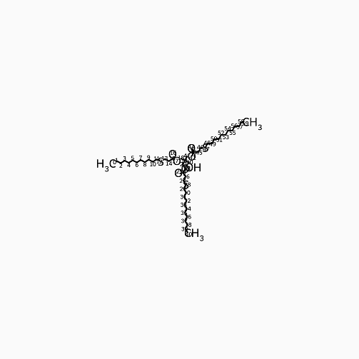 CCCCCCCCCCCCSCCC(=O)OCC(CO)(COC(=O)CCSCCCCCCCCCCCC)COC(=O)CCSCCCCCCCCCCCC